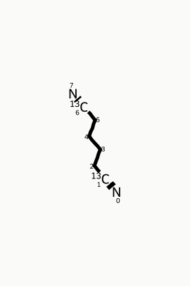 N#[13C]CCCC[13C]#N